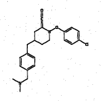 CN(C)Cc1ccc(CC2CCN(Oc3ccc(Cl)cc3)C(=C=O)C2)cc1